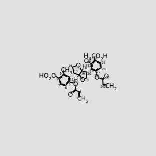 C=CC(=O)Oc1ccc(C(=O)O)c(C)c1[C@@H]1CO[C@H]2[C@@H]1OC[C@H]2c1c(OC(=O)C=C)ccc(C(=O)O)c1C